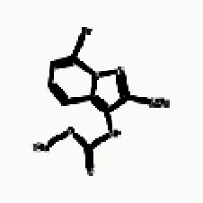 CSc1nn2c(Br)cccc2c1NC(=O)OC(C)(C)C